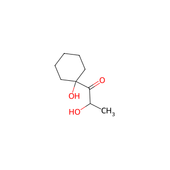 CC(O)C(=O)C1(O)CCCCC1